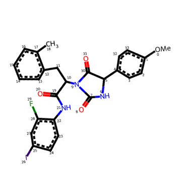 COc1ccc(C2NC(=O)N(C(Cc3ccccc3C)C(=O)Nc3ccc(I)cc3F)C2=O)cc1